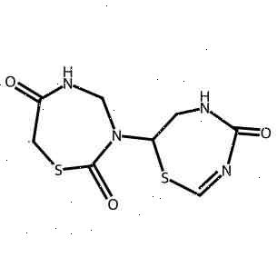 O=C1[CH]SC(=O)N(C2CNC(=O)N=CS2)CN1